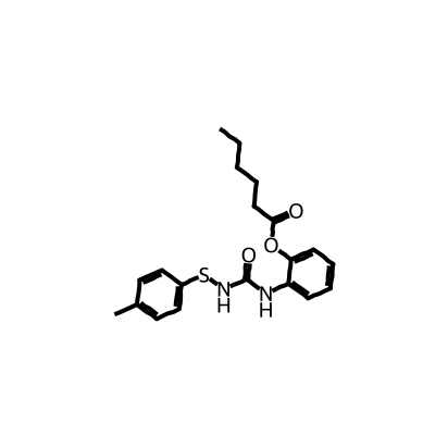 CCCCCC(=O)Oc1ccccc1NC(=O)NSc1ccc(C)cc1